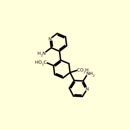 Nc1ncccc1C1=C(C(=O)O)C=CC(C(=O)O)(c2cccnc2N)C1